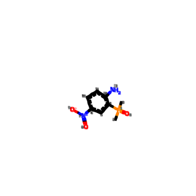 CP(C)(=O)c1cc([N+](=O)[O-])ccc1N